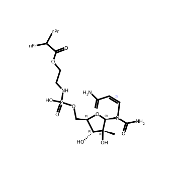 C=C(N)/C=C\N(C(N)=O)[C@@H]1O[C@H](COP(=O)(O)NCCOC(=O)C(CCC)CCC)[C@@H](O)[C@@]1(C)O